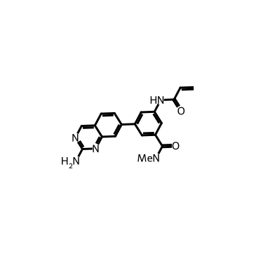 C=CC(=O)Nc1cc(C(=O)NC)cc(-c2ccc3cnc(N)nc3c2)c1